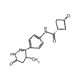 CC1CC(=O)NN=C1c1ccc(NC(=O)[C@H]2C[C@H](Cl)C2)cc1